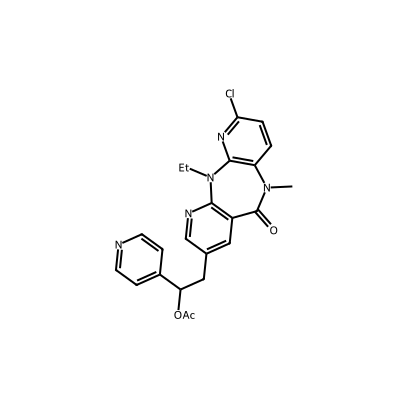 CCN1c2ncc(CC(OC(C)=O)c3ccncc3)cc2C(=O)N(C)c2ccc(Cl)nc21